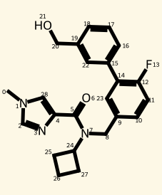 Cn1cnc(C(=O)N(Cc2ccc(F)c(-c3cccc(CO)c3)c2)C2CCC2)c1